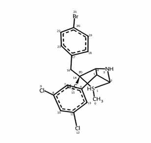 C[SH]1C2NC(C2c2cc(Cl)cc(Cl)c2)[C@@]1(C)Cc1ccc(Br)cc1